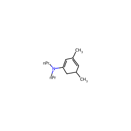 CCCN(CCC)C1=CC(C)=CC(C)C1